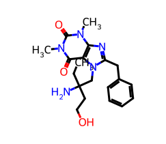 CCC(N)(CCO)Cn1c(Cc2ccccc2)nc2c1c(=O)n(C)c(=O)n2C